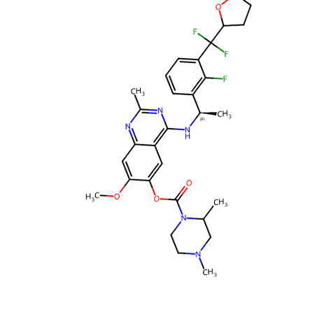 COc1cc2nc(C)nc(N[C@H](C)c3cccc(C(F)(F)C4CCCO4)c3F)c2cc1OC(=O)N1CCN(C)CC1C